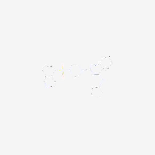 O=S(=O)(c1cccc2cnccc12)N1CCN(c2nc(NC3CCCC3)c3ccccc3n2)CC1